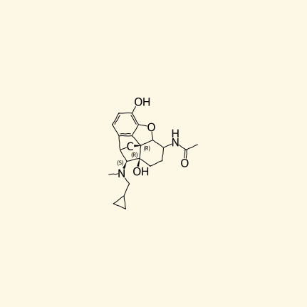 CC(=O)NC1CC[C@]2(O)[C@@H](N(C)CC3CC3)C3C[C@]24c2c3ccc(O)c2OC14